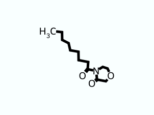 CCCCCCCCC(=O)N1CCOCC1=O